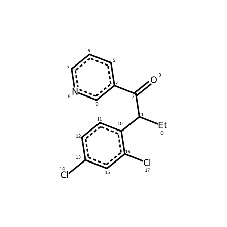 CCC(C(=O)c1cccnc1)c1ccc(Cl)cc1Cl